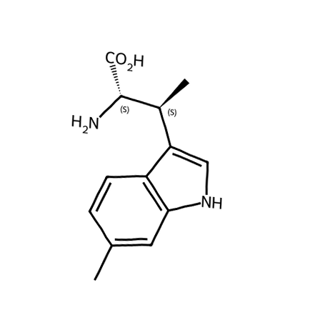 Cc1ccc2c([C@H](C)[C@H](N)C(=O)O)c[nH]c2c1